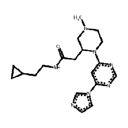 CN1CCN(c2cc(-n3ccnc3)ncn2)C(CC(=O)NCCC2CC2)C1